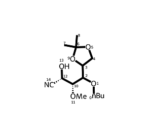 CCCCOC(C1COC(C)(C)O1)[C@H](OC)[C@@H](O)C#N